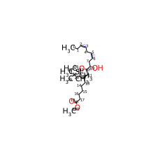 CC/C=C\C/C=C\CC(O)C(CCCCCCCC(=O)OC)O[Si](C)(C)C(C)(C)C